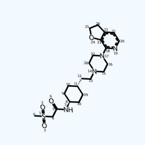 CS(=O)(=O)CC(=O)N[C@H]1CC[C@H](CCN2CCN(c3nccc4c3OCC4)CC2)CC1